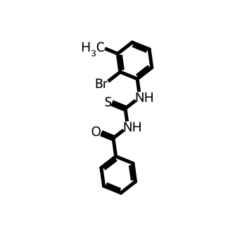 Cc1cccc(NC(=S)NC(=O)c2ccccc2)c1Br